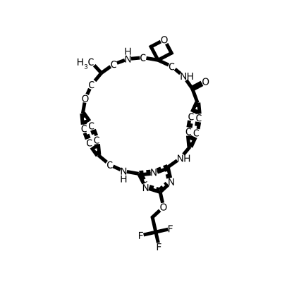 CC1CNCC2(CNC(=O)c3ccc(cc3)Nc3nc(nc(OCC(F)(F)F)n3)NCc3ccc(cc3)OC1)COC2